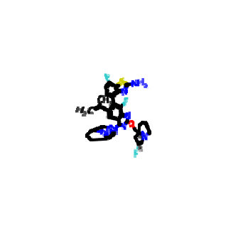 C=C(C)c1cc2c(N3CC4CCC(C3)N4)nc(OC[C@@]34CCCN3C[C@H](F)C4)nc2c(F)c1-c1ccc(F)c2sc(N)nc12